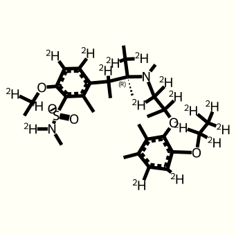 [2H]c1c([2H])c(OC([2H])([2H])C([2H])([2H])[2H])c(OC([2H])(C)C([2H])([2H])N(C)[C@](C)(C([2H])([2H])C)C([2H])(C)c2c([2H])c([2H])c(OC([2H])([2H])C)c(S(=O)(=O)N([2H])C)c2C)c(C)c1C